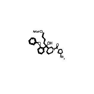 COCCCC[C@@](O)(c1ccccc1Oc1ccccc1)C1CCCN(C(=O)[C@@H]2CC[C@@H](N)C2)C1